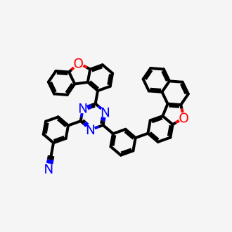 N#Cc1cccc(-c2nc(-c3cccc(-c4ccc5oc6ccc7ccccc7c6c5c4)c3)nc(-c3cccc4oc5ccccc5c34)n2)c1